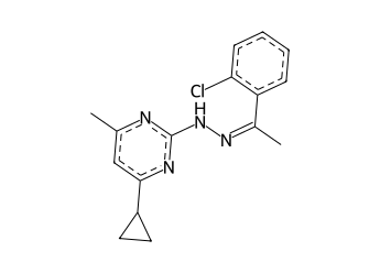 C/C(=N/Nc1nc(C)cc(C2CC2)n1)c1ccccc1Cl